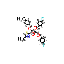 Cc1ccc(CO[C@@H]2[C@H](OCc3ccc(F)cc3)[C@@H](COCc3ccc(F)cc3)O[C@H]2c2nc(C)cs2)cc1